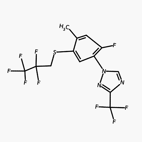 Cc1cc(F)c(-n2cnc(C(F)(F)F)n2)cc1SCC(F)(F)C(F)(F)F